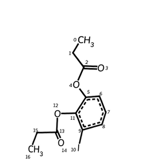 CCC(=O)Oc1cccc(I)c1OC(=O)CC